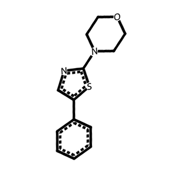 c1ccc(-c2cnc(N3CCOCC3)s2)cc1